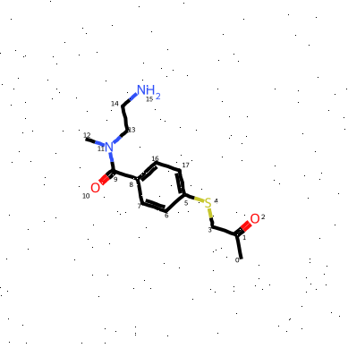 CC(=O)CSc1ccc(C(=O)N(C)CCN)cc1